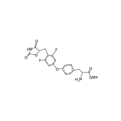 COC(=O)C(N)Cc1ccc(Oc2cc(F)c(CC3OC(=O)NC3=O)c(F)c2)cc1